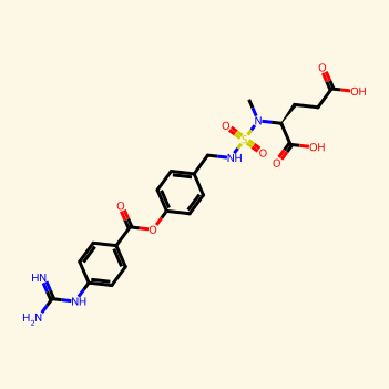 CN([C@@H](CCC(=O)O)C(=O)O)S(=O)(=O)NCc1ccc(OC(=O)c2ccc(NC(=N)N)cc2)cc1